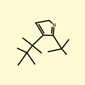 CC(C)(C)C1=NCC=C1C(C)(C)C(C)(C)C